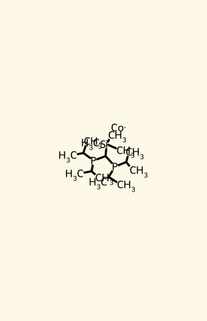 CC(C)P(C(C)C)C(P(C(C)C)C(C)C)[Si](C)(C)C.[Co]